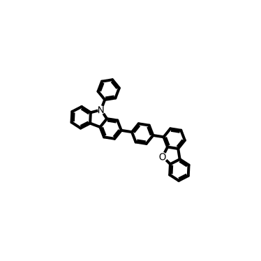 c1ccc(-n2c3ccccc3c3ccc(-c4ccc(-c5cccc6c5oc5ccccc56)cc4)cc32)cc1